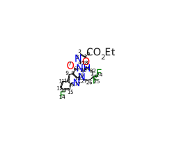 CCOC(=O)c1cnc(NC(=O)c2cc3ccc(F)cc3nc2N2CCCC(F)(F)CC2)o1